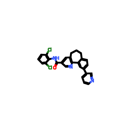 O=C(Nc1c(Cl)cccc1Cl)c1cnc2c(c1)CCCc1ccc(-c3cccnc3)cc1-2